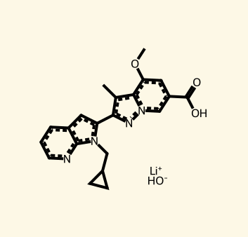 COc1cc(C(=O)O)cn2nc(-c3cc4cccnc4n3CC3CC3)c(C)c12.[Li+].[OH-]